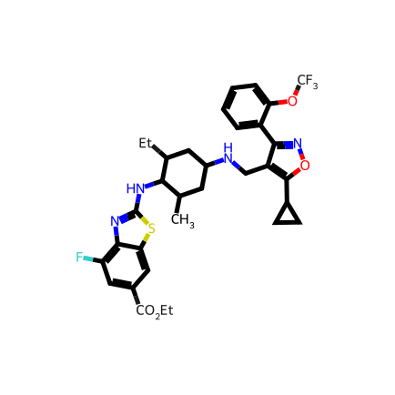 CCOC(=O)c1cc(F)c2nc(NC3C(C)CC(NCc4c(-c5ccccc5OC(F)(F)F)noc4C4CC4)CC3CC)sc2c1